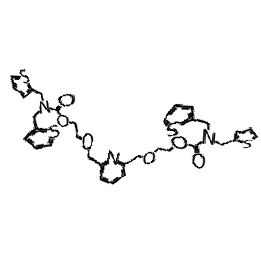 O=C(OCCOCc1cccc(COCCOC(=O)N(Cc2cccs2)Cc2cccs2)n1)N(Cc1cccs1)Cc1cccs1